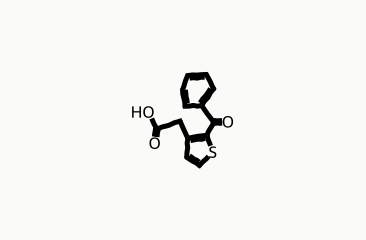 O=C(O)Cc1ccsc1C(=O)c1ccccc1